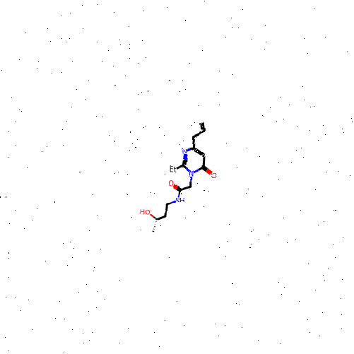 C=CCc1cc(=O)n(CC(=O)NCC[C@H](C)O)c(CC)n1